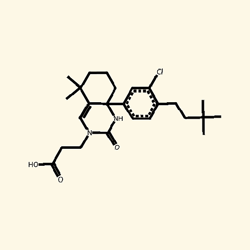 CC(C)(C)CCc1ccc(C23CCCC(C)(C)C2=CN(CCC(=O)O)C(=O)N3)cc1Cl